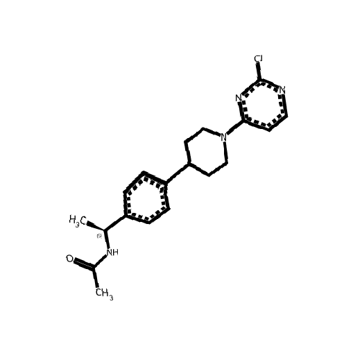 CC(=O)N[C@@H](C)c1ccc(C2CCN(c3ccnc(Cl)n3)CC2)cc1